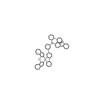 c1ccc(-c2ccccc2N(c2cccc(-c3ccc4c(c3)C3(c5ccccc5-4)c4ccc5ccccc5c4Oc4c3ccc3ccccc43)c2)c2ccc3c(c2)oc2ccccc23)cc1